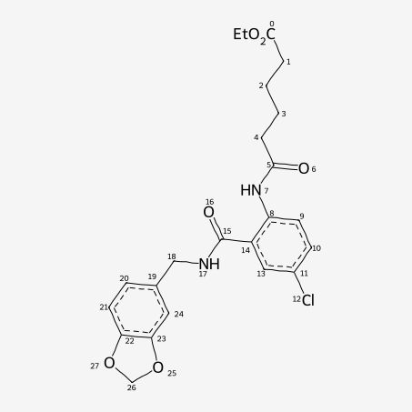 CCOC(=O)CCCCC(=O)Nc1ccc(Cl)cc1C(=O)NCc1ccc2c(c1)OCO2